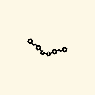 C(=C\c1ccc(-c2ccc(-c3ccc(-c4ccc(/C=C/c5ccccc5)cc4)s3)s2)cc1)/c1ccccc1